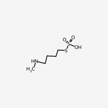 CNCCCCSS(=O)(=O)O